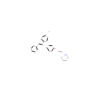 COc1ccc2c(Oc3ccc(OCCN4CCCCC4)cc3)c(-c3ccc(O)cc3)sc2c1.Cl